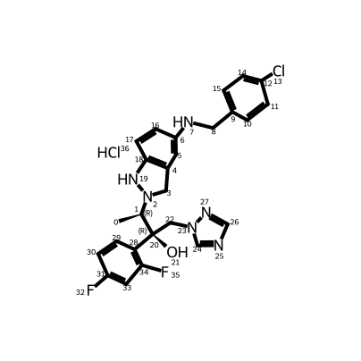 C[C@@H](N1Cc2cc(NCc3ccc(Cl)cc3)ccc2N1)[C@](O)(Cn1cncn1)c1ccc(F)cc1F.Cl